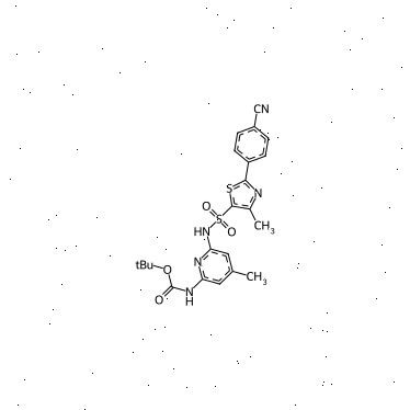 Cc1cc(NC(=O)OC(C)(C)C)nc(NS(=O)(=O)c2sc(-c3ccc(C#N)cc3)nc2C)c1